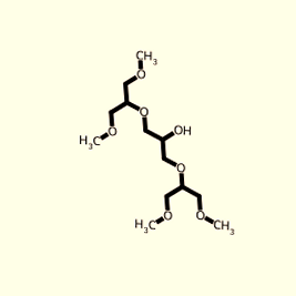 COCC(COC)OCC(O)COC(COC)COC